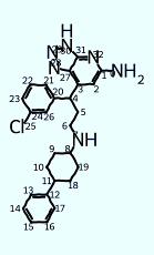 Nc1cc(C(CCNC2CCC(c3ccccc3)CC2)c2cccc(Cl)c2)c2nn[nH]c2n1